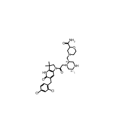 C[C@@H]1CN(CC(=O)N2CC(C)(C)c3[nH]c(=O)c(Cc4ccc(Cl)cc4Cl)cc32)[C@@H](CN2CCOC(C(N)=O)C2)CN1